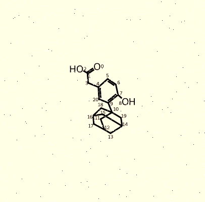 O=C(O)Cc1ccc(O)c(C23CC4CC(CC(C4)C2)C3)c1